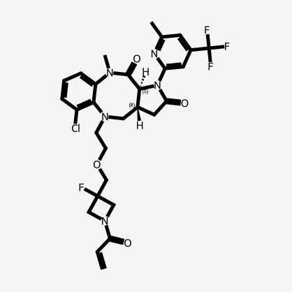 C=CC(=O)N1CC(F)(COCCN2C[C@H]3CC(=O)N(c4cc(C(F)(F)F)cc(C)n4)[C@@H]3C(=O)N(C)c3cccc(Cl)c32)C1